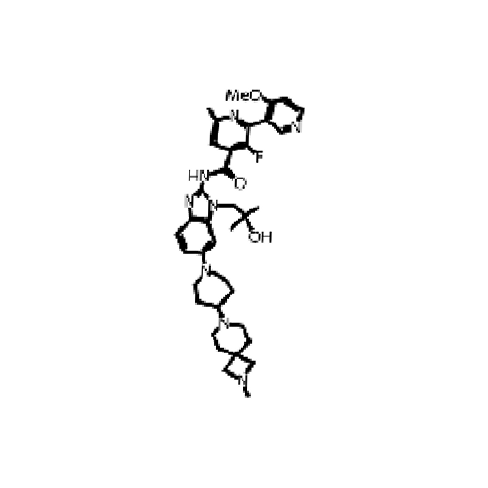 COc1ccncc1-c1nc(C)cc(C(=O)Nc2nc3ccc(N4CCC(N5CCC6(CC5)CN(C)C6)CC4)cc3n2CC(C)(C)O)c1F